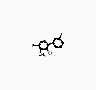 Cc1c(F)ccc(-c2cccc(F)c2)c1C